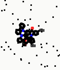 CC(C)(C)c1ccc2c(c1)c(=O)c1cc(-n3c4ccccc4c4cccc(N5c6ccccc6C6(c7ccccc7-c7ccccc76)c6ccccc65)c43)cc3c(=O)c4cc(C(C)(C)C)ccc4n2c13